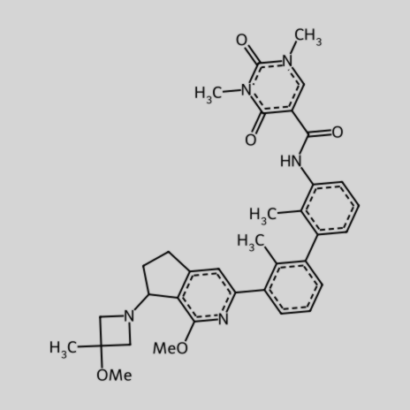 COc1nc(-c2cccc(-c3cccc(NC(=O)c4cn(C)c(=O)n(C)c4=O)c3C)c2C)cc2c1C(N1CC(C)(OC)C1)CC2